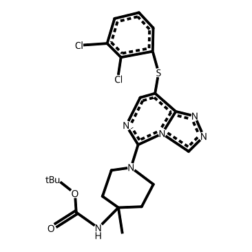 CC1(NC(=O)OC(C)(C)C)CCN(c2ncc(Sc3cccc(Cl)c3Cl)c3nncn23)CC1